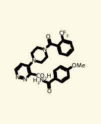 COc1ccc(C(N)=O)cc1.O=C(O)c1nnccc1N1CCN(C(=O)c2ccccc2C(F)(F)F)CC1